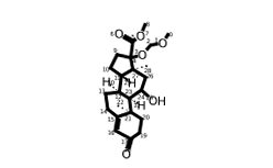 COCOC1(C(=O)OC)CC[C@H]2[C@@H]3CCC4=CC(=O)CC[C@]4(C)[C@@H]3C(O)C[C@@]21C